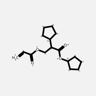 C=CC(=O)OCC(C(=O)OC1CCCC1)C1CCCC1